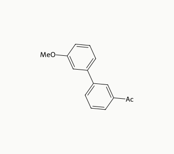 COc1cccc(-c2cccc(C(C)=O)c2)c1